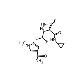 Cn1cc(C(N)=O)cn1.O=C(NC1CC1)c1c(C(F)F)n[nH]c1F